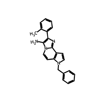 Cc1ccccc1-c1nc2c3ccn(Cc4ccccc4)c3ccn2c1N